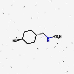 N#C[C@H]1CC[C@H](CNC(=O)O)CC1